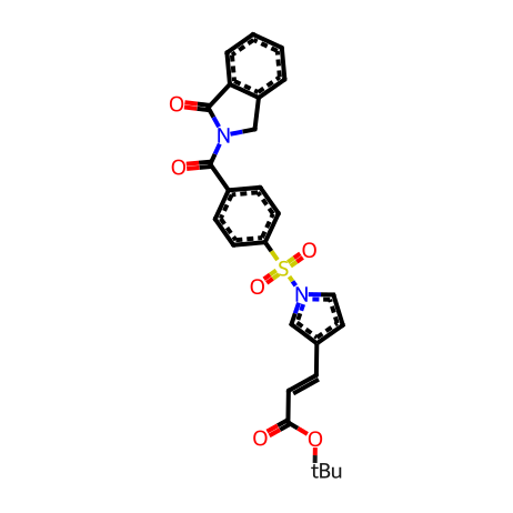 CC(C)(C)OC(=O)C=Cc1ccn(S(=O)(=O)c2ccc(C(=O)N3Cc4ccccc4C3=O)cc2)c1